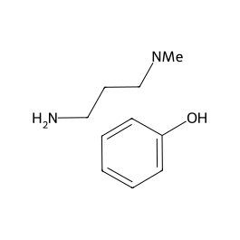 CNCCCN.Oc1ccccc1